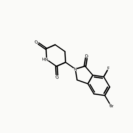 O=C1CCC(N2Cc3cc(Br)cc(F)c3C2=O)C(=O)N1